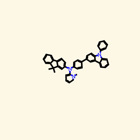 CN1CC=CC=C1N(c1ccc(-c2ccc3c(c2)c2ccccc2n3-c2ccccc2)cc1)c1ccc2c(c1)C(C)(C)c1ccccc1-2